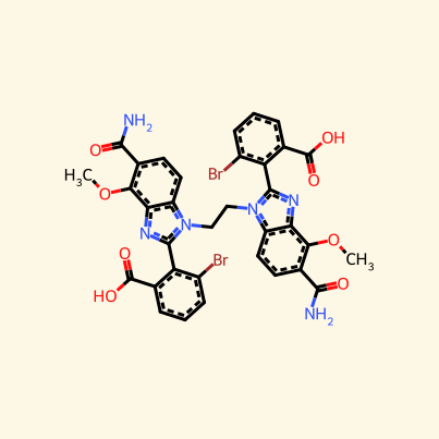 COc1c(C(N)=O)ccc2c1nc(-c1c(Br)cccc1C(=O)O)n2CCn1c(-c2c(Br)cccc2C(=O)O)nc2c(OC)c(C(N)=O)ccc21